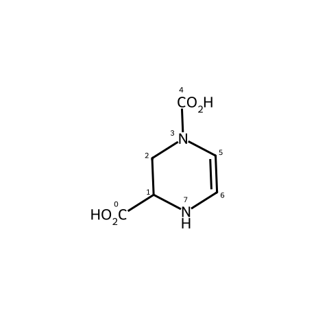 O=C(O)C1CN(C(=O)O)C=CN1